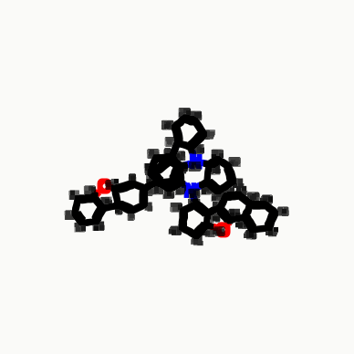 c1cc(-c2ccc3c(c2)oc2ccccc23)cc(N(c2ccccc2-n2c3ccccc3c3ccccc32)c2cccc3oc4c5ccccc5ccc4c23)c1